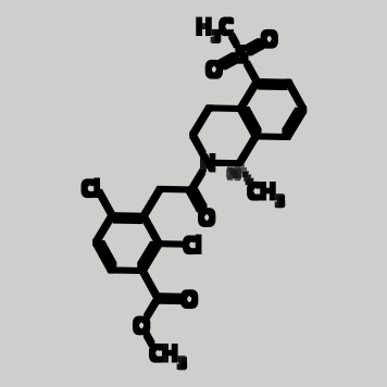 COC(=O)c1ccc(Cl)c(CC(=O)N2CCc3c(cccc3S(C)(=O)=O)[C@@H]2C)c1Cl